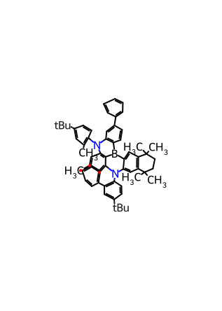 Cc1cc2c3c(c1)N(c1ccc(C(C)(C)C)cc1-c1ccccc1)c1cc4c(cc1B3c1ccc(-c3ccccc3)cc1N2c1ccc(C(C)(C)C)cc1C)C(C)(C)CCC4(C)C